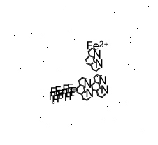 F[P-](F)(F)(F)(F)F.F[P-](F)(F)(F)(F)F.[Fe+2].c1cnc2c(c1)ccc1cccnc12.c1cnc2c(c1)ccc1cccnc12.c1cnc2c(c1)ccc1cccnc12